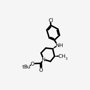 C[C@H]1CN(C(=O)OC(C)(C)C)CC[C@H]1Nc1ccc(Cl)cc1